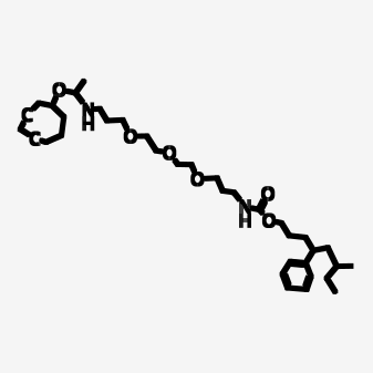 CCC(C)CC(CCCOC(=O)NCCCOCCOCCOCCCNC(C)OC1CCCCCCC1)c1ccccc1